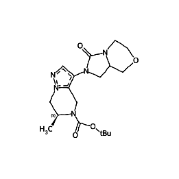 C[C@H]1Cn2ncc(N3CC4COCCN4C3=O)c2CN1C(=O)OC(C)(C)C